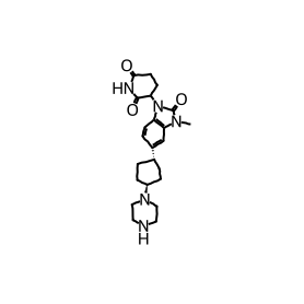 Cn1c(=O)n(C2CCC(=O)NC2=O)c2ccc([C@H]3CC[C@H](N4CCNCC4)CC3)cc21